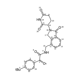 CC(C)(C)c1ccc(C(=O)C(=O)NCc2cccc3c2CN(C2CCC(=O)NC2=O)C3=O)cc1